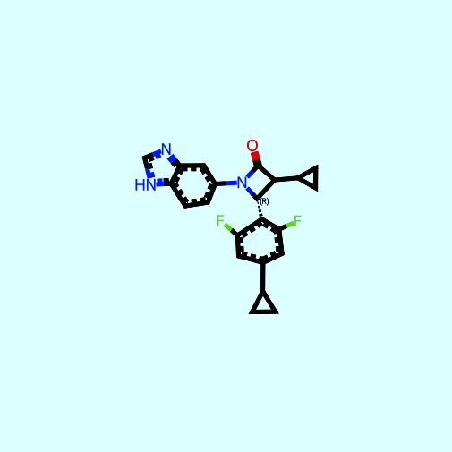 O=C1C(C2CC2)[C@H](c2c(F)cc(C3CC3)cc2F)N1c1ccc2[nH]cnc2c1